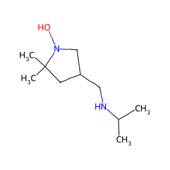 CC(C)NCC1CN(O)C(C)(C)C1